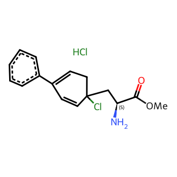 COC(=O)[C@@H](N)CC1(Cl)C=CC(c2ccccc2)=CC1.Cl